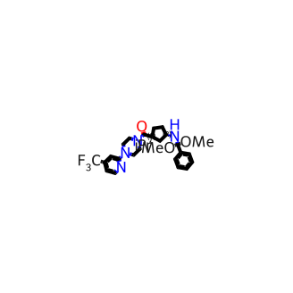 COC(N[C@@H]1CC[C@@](C(=O)N2CCN(c3cc(C(F)(F)F)ccn3)CC2)(C(C)C)C1)(OC)c1ccccc1